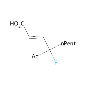 CCCCCC(F)(C=CC(=O)O)C(C)=O